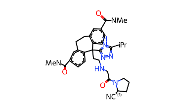 CNC(=O)c1ccc2c(c1)CCc1cc(C(=O)NC)ccc1C2(CCNCC(=O)N1CCC[C@H]1C#N)c1nnc(C(C)C)[nH]1